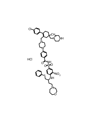 CC1(CN2CCNCC2)CCC(c2ccc(Cl)cc2)=C(CN2CCN(c3ccc(C(=O)NS(=O)(=O)c4ccc(NC(CCN5CCCOCC5)CSc5ccccc5)c([N+](=O)[O-])c4)cc3)CC2)C1.Cl